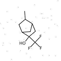 CC1CC2CC1CC2(O)C(F)(F)F